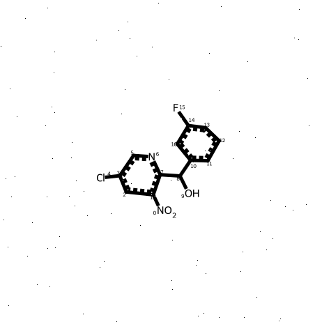 O=[N+]([O-])c1cc(Cl)cnc1C(O)c1cccc(F)c1